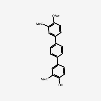 COc1cc(-c2ccc(-c3ccc(OC)c(OC)c3)cc2)ccc1O